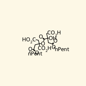 CCCCCOC(=O)CC(O)(CC(=O)O)C(=O)OC(CC(=O)O)(CC(=O)OCCCCC)C(=O)O